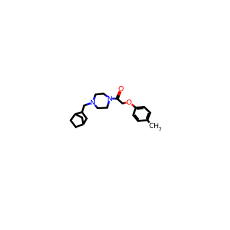 Cc1ccc(OCC(=O)N2CCN(CC3CC4CCC3C4)CC2)cc1